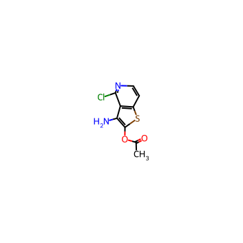 CC(=O)Oc1sc2ccnc(Cl)c2c1N